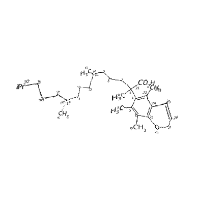 Cc1c(C)c(C(C)(CCC[C@H](C)CCC[C@H](C)CCCC(C)C)C(=O)O)c(C)c2c1OCC=C2